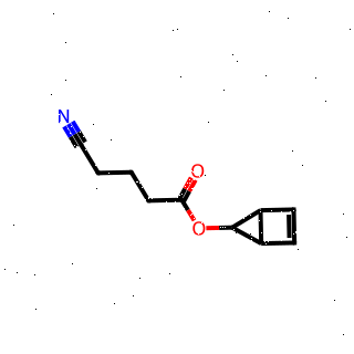 N#CCCCC(=O)OC1C2C=CC21